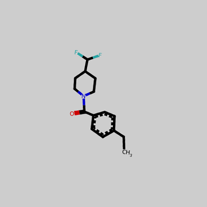 CCc1ccc(C(=O)N2CCC(C(F)F)CC2)cc1